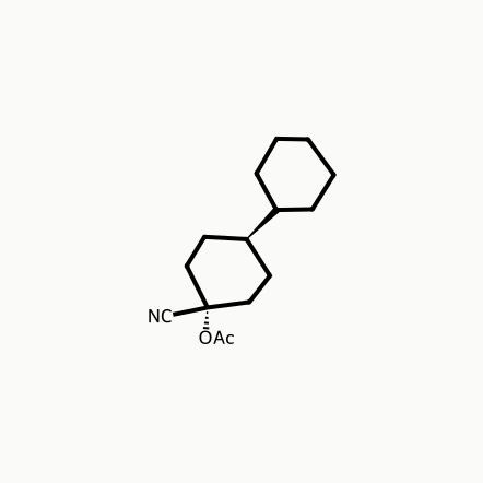 CC(=O)O[C@]1(C#N)CC[C@@H](C2CCCCC2)CC1